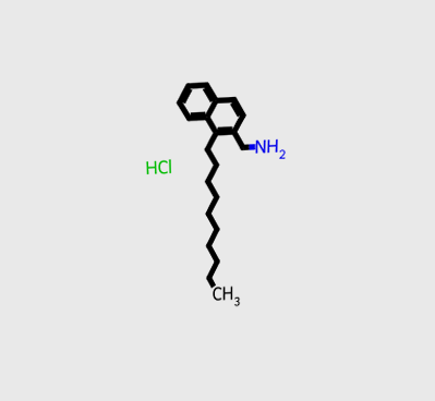 CCCCCCCCCCc1c(CN)ccc2ccccc12.Cl